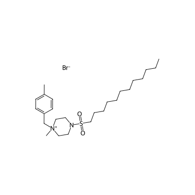 CCCCCCCCCCCCS(=O)(=O)N1CC[N+](C)(Cc2ccc(C)cc2)CC1.[Br-]